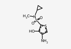 CN(C1CC1)S(=O)(=O)c1scc(N)c1O